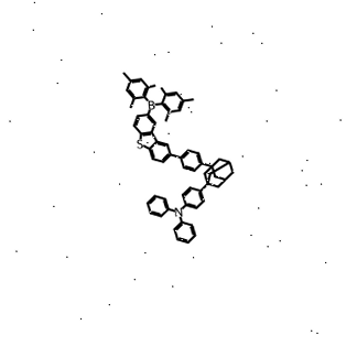 Cc1cc(C)c(B(c2ccc3sc4ccc(-c5ccc(C67CC8CC(C6)CC(c6ccc(N(c9ccccc9)c9ccccc9)cc6)(C8)C7)cc5)cc4c3c2)c2c(C)cc(C)cc2C)c(C)c1